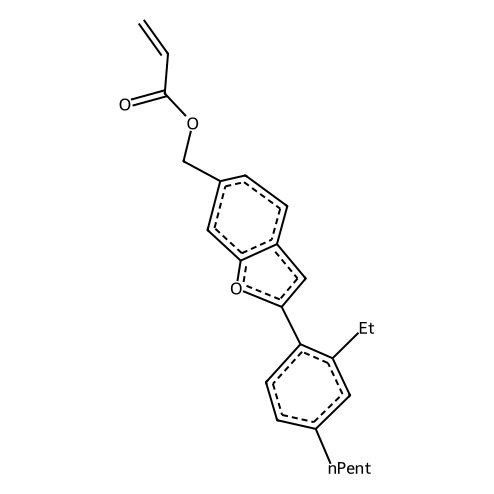 C=CC(=O)OCc1ccc2cc(-c3ccc(CCCCC)cc3CC)oc2c1